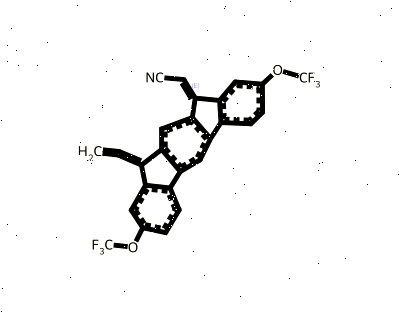 C=C=C1c2cc(OC(F)(F)F)ccc2-c2cc3c(cc21)/C(=C\C#N)c1cc(OC(F)(F)F)ccc1-3